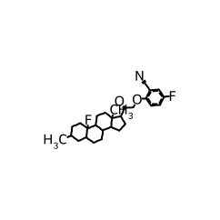 CC1CCC2(F)C(CCC3C4CCC(C(=O)COc5ccc(F)cc5C#N)C4(C)CCC32)C1